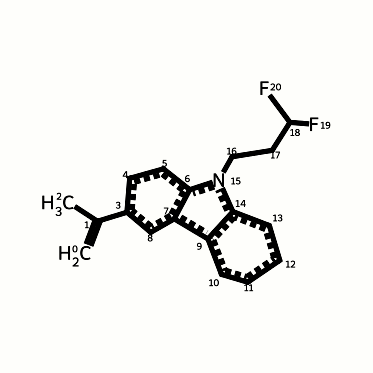 C=C(C)c1ccc2c(c1)c1ccccc1n2CCC(F)F